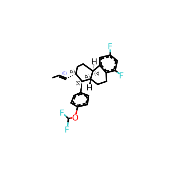 C/C=C/[C@@H]1CC[C@H]2c3cc(F)cc(F)c3CC[C@@H]2[C@H]1c1ccc(OC(F)F)cc1